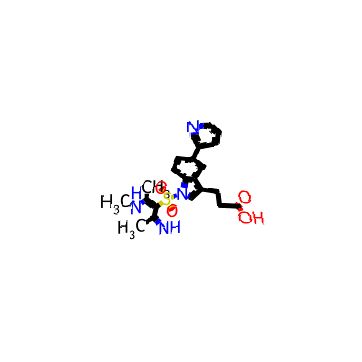 CN/C(C)=C(\C(C)=N)S(=O)(=O)n1cc(CCC(=O)O)c2cc(-c3cccnc3)ccc21